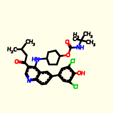 CC(C)CC(=O)c1cnc2ccc(-c3cc(Cl)c(O)c(Cl)c3)cc2c1NC1CCC(OC(=O)NC(C)(C)C)CC1